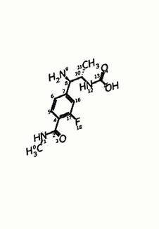 CNC(=O)c1ccc([C@@H](N)[C@H](C)NC(=O)O)cc1F